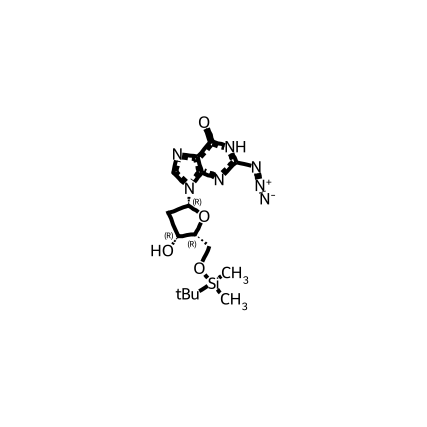 CC(C)(C)[Si](C)(C)OC[C@H]1O[C@@H](n2cnc3c(=O)[nH]c(N=[N+]=[N-])nc32)C[C@H]1O